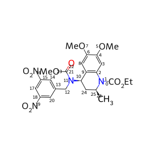 CCOC(=O)N1c2cc(OC)c(OC)cc2[C@H](N(Cc2cc([N+](=O)[O-])cc([N+](=O)[O-])c2)C(=O)OC)C[C@@H]1C